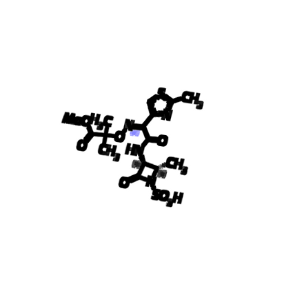 COC(=O)C(C)(C)O/N=C(\C(=O)N[C@@H]1C(=O)N(S(=O)(=O)O)[C@H]1C)c1csc(C)n1